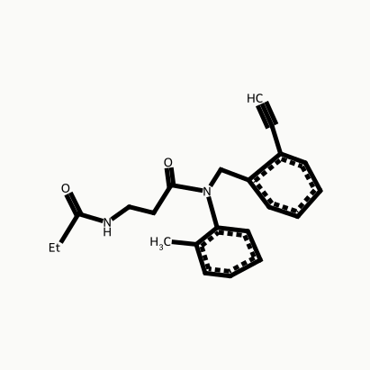 C#Cc1ccccc1CN(C(=O)CCNC(=O)CC)c1ccccc1C